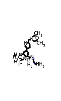 C=C(C)Nc1c(N)cc(-c2ccc(CN3C[C@@H](C)O[C@@H](C)C3)nc2)cc1C(=C)/N=C\C=C/N